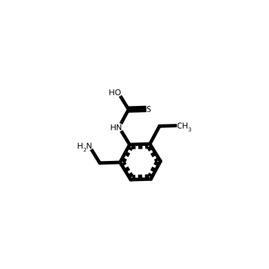 CCc1cccc(CN)c1NC(O)=S